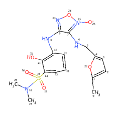 Cc1ccc(CNc2c(Nc3cccc(S(=O)(=O)N(C)C)c3O)no[n+]2[O-])o1